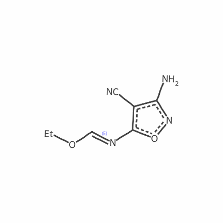 CCO/C=N/c1onc(N)c1C#N